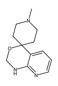 CN1CCC2(CC1)OCNc1ncccc12